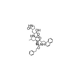 CC(C)CC(NC(=O)C(Cc1cccc2ccccc12)NC(=O)OCCc1ccccc1)C(=O)NC(C[C@@H]1CCNC1=O)C(=O)O